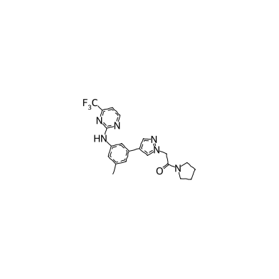 Cc1cc(Nc2nccc(C(F)(F)F)n2)cc(-c2cnn(CC(=O)N3CCCC3)c2)c1